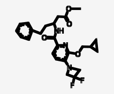 COC(=O)CC(CCc1ccccc1)NC(=O)c1ccc(N2CC(F)(F)C2)c(OCC2CC2)n1